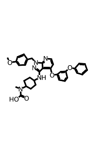 COc1ccc(Cn2nc(NC3CCC(N(C)C(=O)O)CC3)c3c(Oc4cccc(Oc5ccccc5)c4)ccnc32)cc1